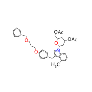 CC(=O)OCC1CC(OC(C)=O)CC(n2cc(Cc3ccc(OCCCOCc4ccccc4)cc3)c3c(C)cccc32)O1